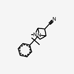 CN1CC2C(C#N)C1N2C(C)(C)c1ccccc1